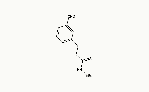 CCCCNC(=O)COc1cccc(C=O)c1